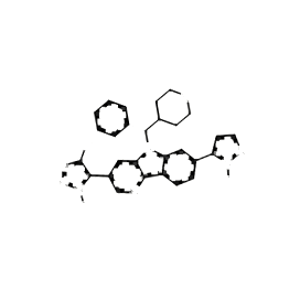 Cc1nnn(C)c1-c1cnc2c3ccc(-c4ccnn4C)cc3n([C@H](c3ccccc3)C3CCOCC3)c2c1